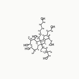 CC(CO)CCC(CCC(C)CO)(C(C)CC(C)(C)CO)C(CCCCCO)(CCC(C)CO)C(O)CCCCCO